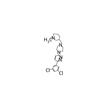 CN1CCCC(CN2CCN(c3ccc(-c4cc(Cl)cc(Cl)c4)nn3)CC2)C1